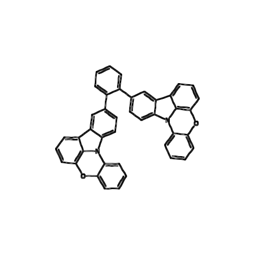 c1ccc2c(c1)Oc1cccc3c4cc(-c5ccccc5-c5ccc6c(c5)c5cccc7c5n6-c5ccccc5O7)ccc4n-2c13